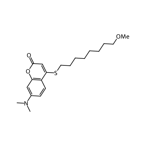 COCCCCCCCCSc1cc(=O)oc2cc(N(C)C)ccc12